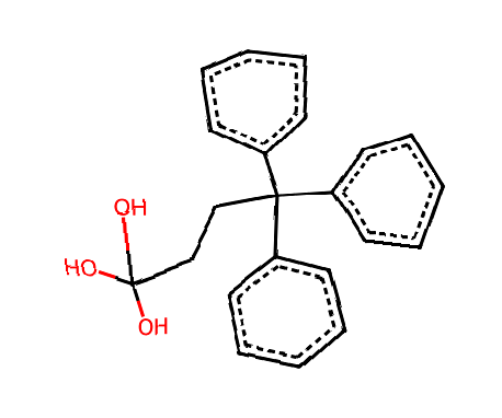 OC(O)(O)CCC(c1ccccc1)(c1ccccc1)c1ccccc1